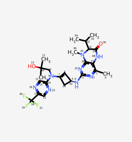 Cc1nc(N[C@@H]2C=C(N(CC(C)(C)O)c3cnc(C(F)(F)F)cn3)C2)nc2c1NC(=O)C(C(C)C)N2C